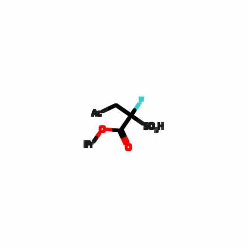 CC(=O)CC(F)(C(=O)OC(C)C)S(=O)(=O)O